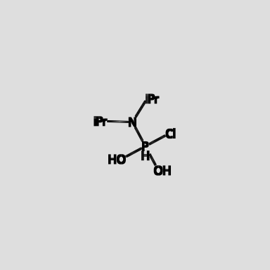 CC(C)N(C(C)C)[PH](O)(O)Cl